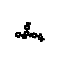 CC(C)(C)OC(=O)N1CCC(C)(Oc2cc(-c3ccc(O)cc3)cc3c2cnn3C2CCCCO2)CC1